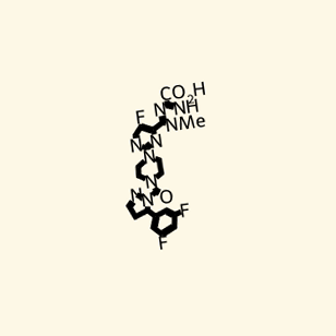 CN/C(=N\C(=N)C(=O)O)c1nc(N2CCN(C(=O)N3N=CCC3c3cc(F)cc(F)c3)CC2)ncc1F